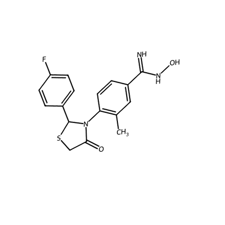 Cc1cc(C(=N)NO)ccc1N1C(=O)CSC1c1ccc(F)cc1